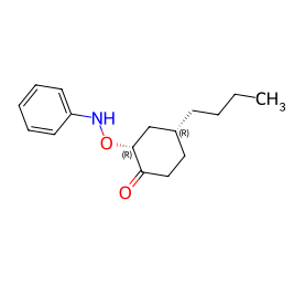 CCCC[C@@H]1CCC(=O)[C@H](ONc2ccccc2)C1